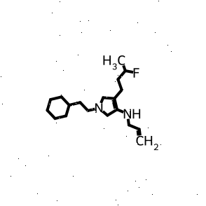 C=CCNC1=C(CCC(C)F)CN(CCC2CCCCC2)C1